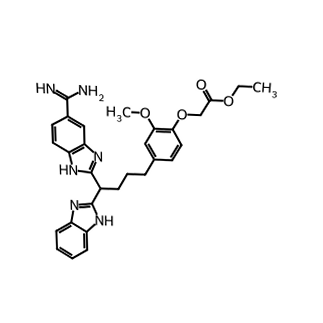 CCOC(=O)COc1ccc(CCCC(c2nc3ccccc3[nH]2)c2nc3cc(C(=N)N)ccc3[nH]2)cc1OC